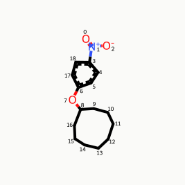 O=[N+]([O-])c1ccc(OC2CCCCCCCC2)cc1